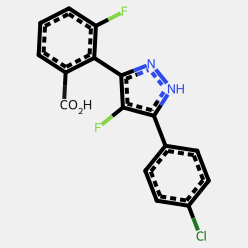 O=C(O)c1cccc(F)c1-c1n[nH]c(-c2ccc(Cl)cc2)c1F